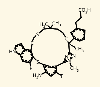 Cn1nc2nc1-c1cc(c(N)cc1F)Sc1c(F)cc3[nH]ccc3c1CCSCC(C)(C)CCC[C@]2(C)c1cccc(CCC(=O)O)c1